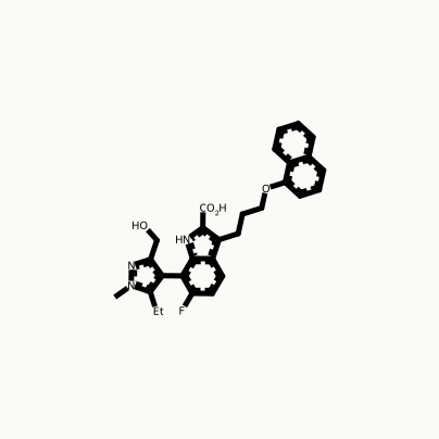 CCc1c(-c2c(F)ccc3c(CCCOc4cccc5ccccc45)c(C(=O)O)[nH]c23)c(CO)nn1C